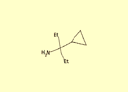 [CH2]CC(N)(CC)C1CC1